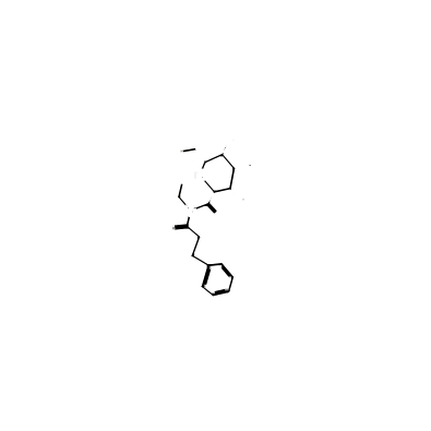 CCN(C(=O)CCc1ccccc1)C(=O)[C@H]1N[C@H](CO)[C@@H](O)[C@H](O)[C@@H]1O